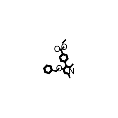 CCOC(=O)c1ccc(-c2c(OCc3ccccc3)cc(C)nc2C)cc1